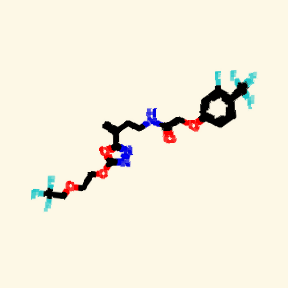 C=C(CCNC(=O)COc1ccc(C(F)(F)F)c(F)c1)c1nnc(OCCOCC(F)(F)F)o1